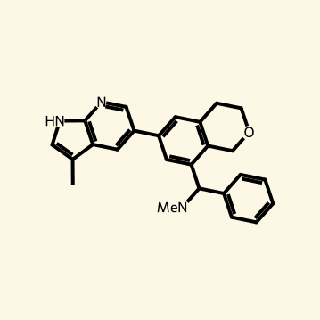 CNC(c1ccccc1)c1cc(-c2cnc3[nH]cc(C)c3c2)cc2c1COCC2